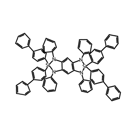 c1ccc(-c2ccc([Si]3(c4ccc(-c5ccccc5)cc4)N(c4ccccc4)c4cc5c(cc4N3c3ccccc3)N(c3ccccc3)[Si](c3ccc(-c4ccccc4)cc3)(c3ccc(-c4ccccc4)cc3)N5c3ccccc3)cc2)cc1